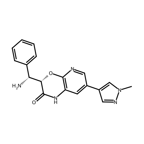 Cn1cc(-c2cnc3c(c2)NC(=O)[C@H]([C@H](N)c2ccccc2)O3)cn1